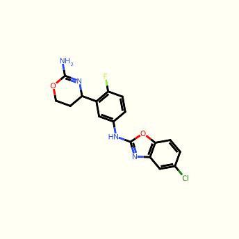 NC1=NC(c2cc(Nc3nc4cc(Cl)ccc4o3)ccc2F)CCO1